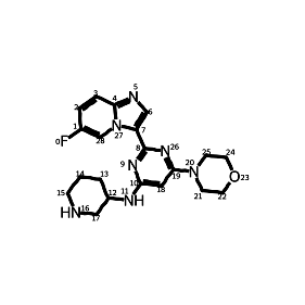 Fc1ccc2ncc(-c3nc(NC4CCCNC4)cc(N4CCOCC4)n3)n2c1